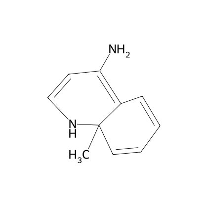 CC12C=CC=CC1=C(N)C=CN2